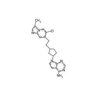 Cc1cnc2cc(CCC3CCC(n4ccc5c(N)ncnc54)C3)c(Cl)cn12